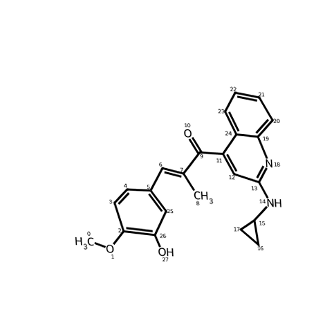 COc1ccc(/C=C(\C)C(=O)c2cc(NC3CC3)nc3ccccc23)cc1O